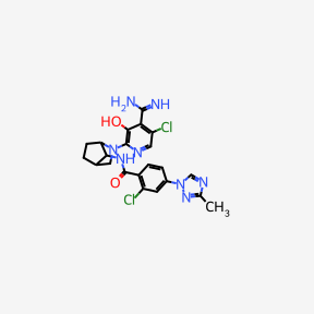 Cc1ncn(-c2ccc(C(=O)NC3C4CCC3N(c3ncc(Cl)c(C(=N)N)c3O)C4)c(Cl)c2)n1